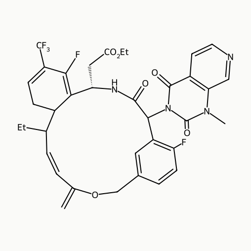 C=C1/C=C\C(CC)C2CC=C(C(F)(F)F)C(F)=C2[C@H](CC(=O)OCC)NC(=O)C(n2c(=O)c3ccncc3n(C)c2=O)c2cc(ccc2F)CO1